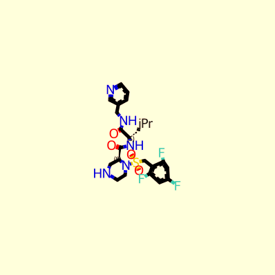 CC(C)C[C@H](NC(=O)[C@@H]1CNCCN1S(=O)(=O)Cc1c(F)cc(F)cc1F)C(=O)NCc1cccnc1